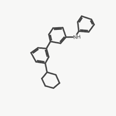 c1ccc(Nc2cccc(-c3cccc(C4CCCCC4)c3)c2)cc1